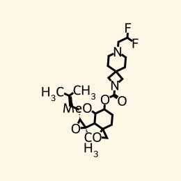 COC1C(OC(=O)N2CC3(CCN(CC(F)F)CC3)C2)CCC2(CO2)C1[C@@]1(C)O[C@@H]1CC=C(C)C